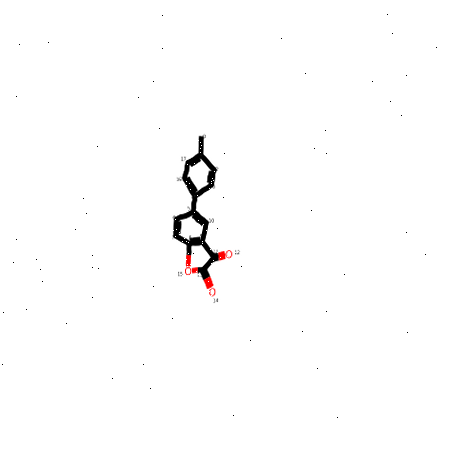 Cc1ccc(-c2ccc3c(c2)C(=O)C(=O)O3)cc1